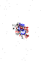 CC(C)C[C@H](NC(=O)[C@H](CC(N)=O)NC(=O)[C@@H](NC(=O)[C@@H](N)CCC(=O)O)C(C)C)C(O)C[C@@H](C)C(=O)N[C@@H](C)C(=O)N[C@@H](CCC(=O)O)C(=O)N[C@@H](Cc1ccccc1)C(=O)O